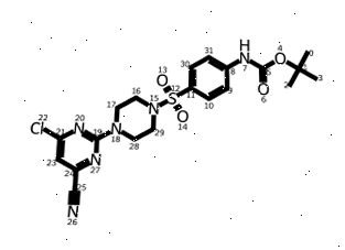 CC(C)(C)OC(=O)Nc1ccc(S(=O)(=O)N2CCN(c3nc(Cl)cc(C#N)n3)CC2)cc1